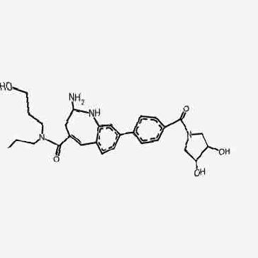 CCCN(CCCO)C(=O)C1=Cc2ccc(-c3ccc(C(=O)N4CC(O)C(O)C4)cc3)cc2NC(N)C1